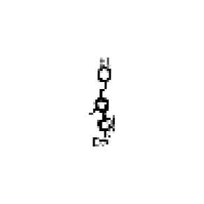 CCOc1ccc(-c2ccc(CCC3CCC(CC)CC3)cc2F)nn1